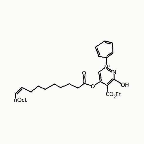 CCCCCCCC/C=C\CCCCCCCC(=O)Oc1c[n+](-c2ccccc2)nc(O)c1C(=O)OCC